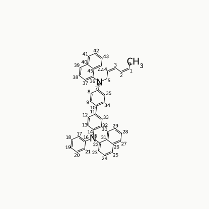 C/C=C\C=C/CN(c1ccc(-c2ccc(N(c3ccccc3)c3cccc4ccccc34)cc2)cc1)c1cccc2ccccc12